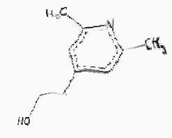 Cc1cc([CH]CO)cc(C)n1